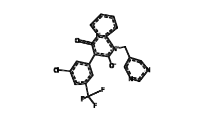 O=c1c(-c2cc(Cl)cc(C(F)(F)F)c2)c([O-])[n+](Cc2cncnc2)c2ccccn12